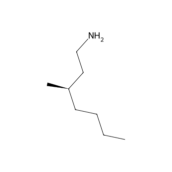 CCCC[C@@H](C)CCN